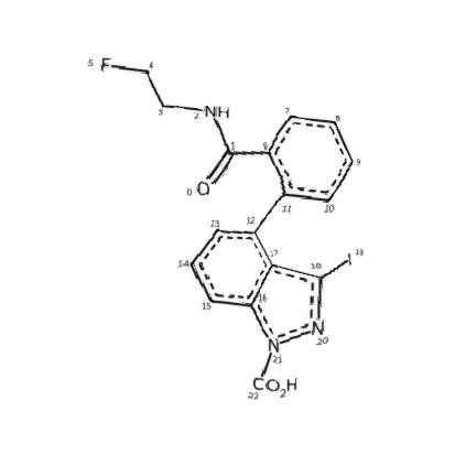 O=C(NCCF)c1ccccc1-c1cccc2c1c(I)nn2C(=O)O